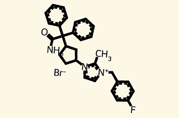 Cc1n(C2CCC(C(C(N)=O)(c3ccccc3)c3ccccc3)C2)cc[n+]1Cc1ccc(F)cc1.[Br-]